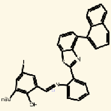 CCCCc1cc(I)cc(/C=N/c2ccccc2-c2nc3c(-c4cccc5ccccc45)cccc3s2)c1O